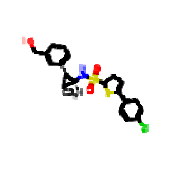 O=C(O)[C@]1(NS(=O)(=O)C2CC=C(c3ccc(Cl)cc3)S2)C[C@@H]1c1cccc(CO)c1